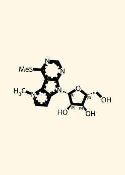 CSc1ncnc2c1c1c(ccn1C)n2[C@@H]1O[C@H](CO)[C@@H](O)[C@H]1O